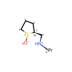 CC(C)NC[C@@H]1CCC[S+]1[O-]